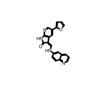 O=C1Nc2ncc(-c3ccco3)cc2/C1=C/Nc1ccc2ncccc2c1